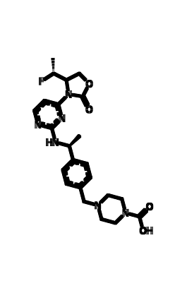 C[C@H](Nc1nccc(N2C(=O)OCC2[C@@H](C)F)n1)c1ccc(CN2CCN(C(=O)O)CC2)cc1